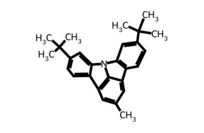 Cc1cc2c3ccc(C(C)(C)C)cc3n3c4cc(C(C)(C)C)ccc4c(c1)c23